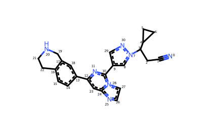 N#CCC(C1CC1)n1cc(-c2nc(-c3ccc4c(c3)CNCC4)cc3nccn23)cn1